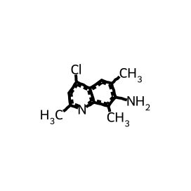 Cc1cc(Cl)c2cc(C)c(N)c(C)c2n1